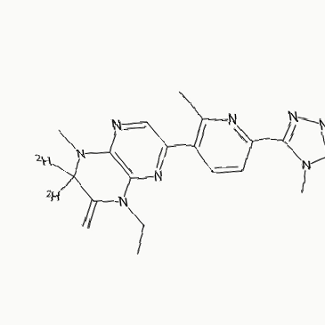 [2H]C1([2H])C(=C)N(CC)c2nc(-c3ccc(-c4nncn4C)nc3C)cnc2N1C